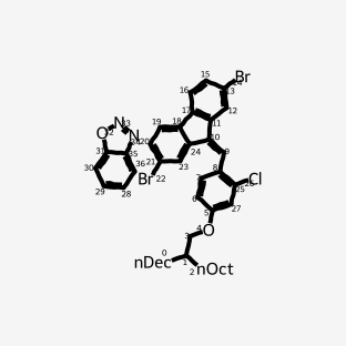 CCCCCCCCCCC(CCCCCCCC)COc1ccc(C=C2c3cc(Br)ccc3-c3ccc(Br)cc32)c(Cl)c1.c1ccc2onnc2c1